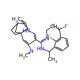 C=CN/C=C(C(=C/C12CCC(CC1)C2)\N=C)/C(=N\CC)NC(C)c1cccc(C(F)F)c1F